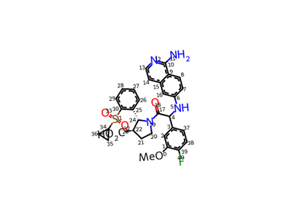 COc1cc(C(Nc2ccc3c(N)nccc3c2)C(=O)N2CC[C@@H](C(=O)O)[C@@H]2c2ccccc2S(=O)(=O)C2CC2)ccc1F